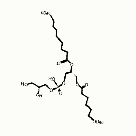 CCCCCCCCCCCCCCCCCC(=O)O[C@H](COC(=O)CCCCCCCCCCCCCCC)COP(=O)(O)OC[C@@H](O)CO